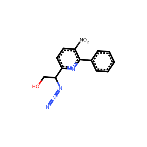 [N-]=[N+]=NC(CO)c1ccc([N+](=O)[O-])c(-c2ccccc2)n1